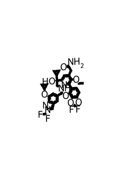 CCOc1c(CC(N)=O)cc([C@@](O)(CNC(=O)c2cc(OC3CC3)c3nn(C(F)F)cc3c2)C2CC2)nc1-c1ccc2c(c1)OC(F)(F)O2